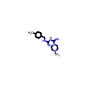 Cc1ccc(CNC(=N)NC(=N)N2CCN(C)CC2)cc1